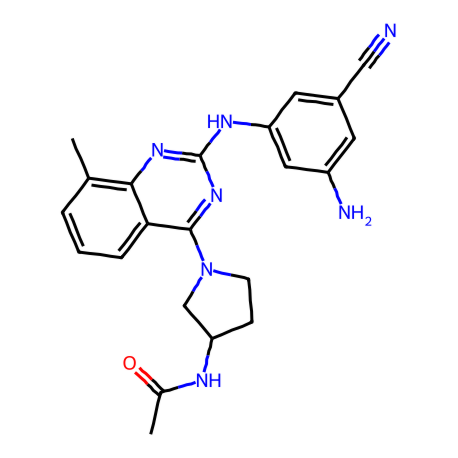 CC(=O)NC1CCN(c2nc(Nc3cc(N)cc(C#N)c3)nc3c(C)cccc23)C1